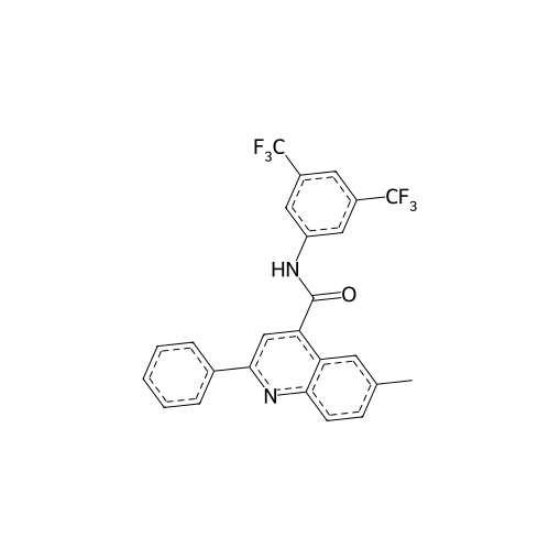 Cc1ccc2nc(-c3ccccc3)cc(C(=O)Nc3cc(C(F)(F)F)cc(C(F)(F)F)c3)c2c1